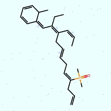 C=CCC(=CC/C=C/CC(/C=C\C)=C(\C=C1\C=CC=CC1C)CC)P(C)(C)=O